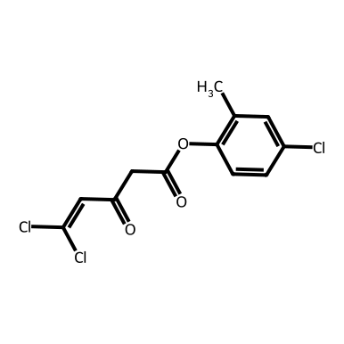 Cc1cc(Cl)ccc1OC(=O)CC(=O)C=C(Cl)Cl